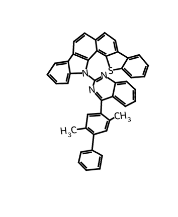 Cc1cc(-c2nc(-n3c4ccccc4c4ccc5ccc6c7ccccc7sc6c5c43)nc3ccccc23)c(C)cc1-c1ccccc1